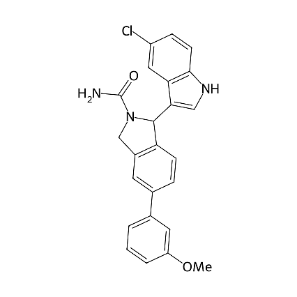 COc1cccc(-c2ccc3c(c2)CN(C(N)=O)C3c2c[nH]c3ccc(Cl)cc23)c1